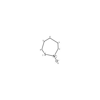 [O-][N+]1CCCCCS1